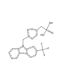 O=P(O)(O)Cc1ccc(Cn2c3ccccc3c3ccc(C(F)(F)F)cc32)cc1